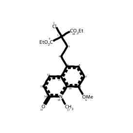 CCOC(=O)C(Cl)(CCc1ccc(OC)c2c1ccc(=O)n2C)C(=O)OCC